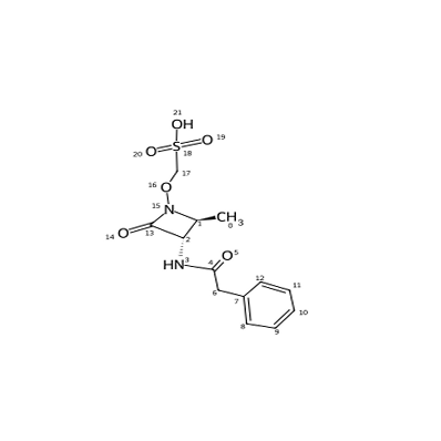 C[C@H]1[C@H](NC(=O)Cc2ccccc2)C(=O)N1OCS(=O)(=O)O